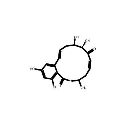 CC1C/C=C\C(=O)[C@H](O)[C@H](O)C/C=C/c2cc(O)cc(O)c2C(=O)O1